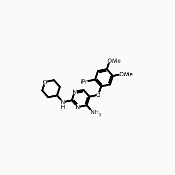 COc1cc(Oc2cnc(NC3CCOCC3)nc2N)c(C(C)C)cc1OC